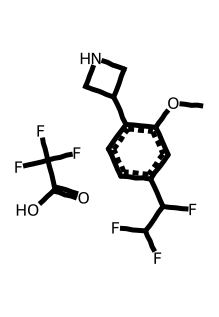 COc1cc(C(F)C(F)F)ccc1C1CNC1.O=C(O)C(F)(F)F